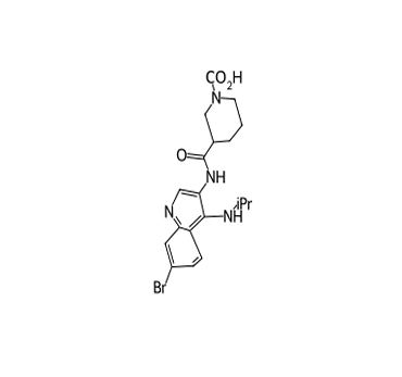 CC(C)Nc1c(NC(=O)C2CCCN(C(=O)O)C2)cnc2cc(Br)ccc12